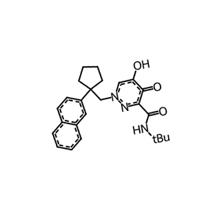 CC(C)(C)NC(=O)c1nn(CC2(c3ccc4ccccc4c3)CCCC2)cc(O)c1=O